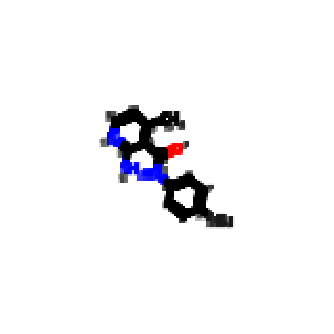 CCCCc1ccc(NC(=O)c2c(C)ccnc2N)cc1